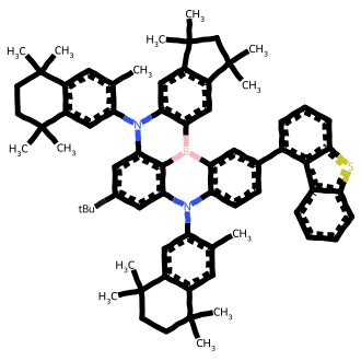 Cc1cc2c(cc1N1c3ccc(-c4cccc5sc6ccccc6c45)cc3B3c4cc5c(cc4N(c4cc6c(cc4C)C(C)(C)CCC6(C)C)c4cc(C(C)(C)C)cc1c43)C(C)(C)CC5(C)C)C(C)(C)CCC2(C)C